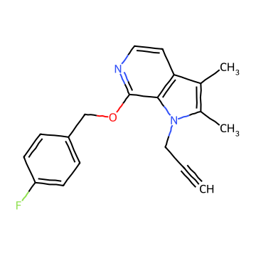 C#CCn1c(C)c(C)c2ccnc(OCc3ccc(F)cc3)c21